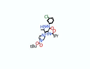 CC(C)C(=O)NC1=C(N2CCN(C(=O)OC(C)(C)C)CC2)C(C)NN(c2cccc(Cl)c2)C1=O